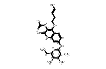 CCC=CCCOc1c(OC(=O)CC)c(=O)oc2cc(O[C@@H]3O[C@H](COC(C)=O)[C@H](OC(C)=O)[C@H](OC(C)=O)[C@H]3OC(C)=O)ccc12